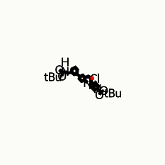 CC(C)(C)OC(=O)NCc1cccc(-c2ccc3nc(N4CCN(C(=O)OC(C)(C)C)CC4)c(Cl)cc3c2)c1